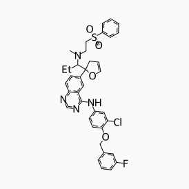 CCC(N(C)CCS(=O)(=O)c1ccccc1)C1(c2ccc3ncnc(Nc4ccc(OCc5cccc(F)c5)c(Cl)c4)c3c2)CC=CO1